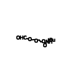 CC(C)(C)NC(=O)OCCOCCOCC=O